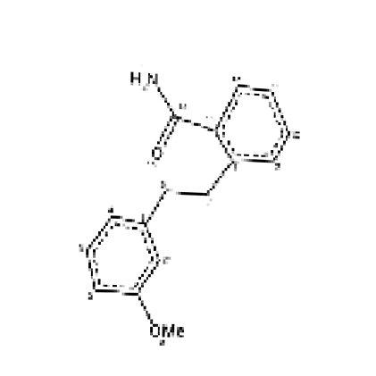 COc1cccc(CCc2ccccc2C(N)=O)c1